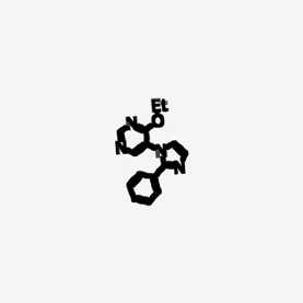 CCOc1ncncc1-n1ccnc1-c1ccccc1